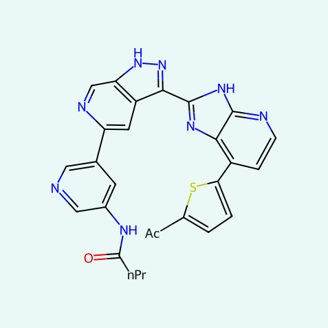 CCCC(=O)Nc1cncc(-c2cc3c(-c4nc5c(-c6ccc(C(C)=O)s6)ccnc5[nH]4)n[nH]c3cn2)c1